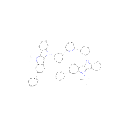 C[Si](C)(C)n1c2cc(-c3ccccc3)ccc2c2c1c1ccccc1n2-c1cccc(-c2cccc(-c3cccc(-n4c5ccccc5c5c4c4ccc(-c6ccccc6)cc4n5[Si](C)(C)C)c3)n2)c1